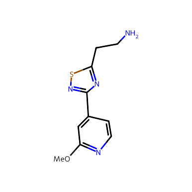 COc1cc(-c2nsc(CCN)n2)ccn1